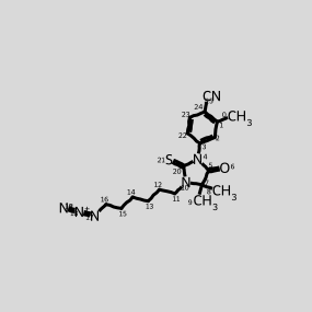 Cc1cc(N2C(=O)C(C)(C)N(CCCCCCN=[N+]=[N-])C2=S)ccc1C#N